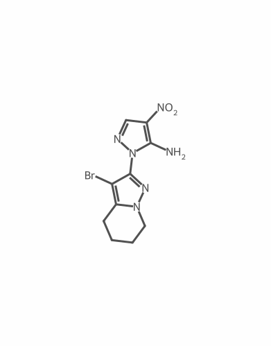 Nc1c([N+](=O)[O-])cnn1-c1nn2c(c1Br)CCCC2